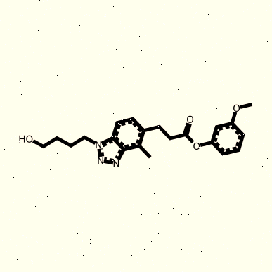 COc1cccc(OC(=O)CCc2ccc3c(nnn3CCCCO)c2C)c1